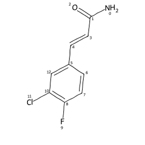 NC(=O)C=Cc1ccc(F)c(Cl)c1